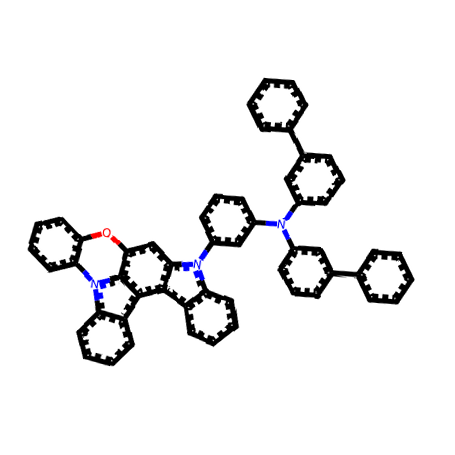 c1ccc(-c2cccc(N(c3cccc(-c4ccccc4)c3)c3cccc(-n4c5ccccc5c5c6c7ccccc7n7c6c(cc54)Oc4ccccc4-7)c3)c2)cc1